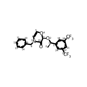 C[C@@H](O[C@@H]1OC=CN(Cc2ccccc2)C1=O)c1cc(C(F)(F)F)cc(C(F)(F)F)c1